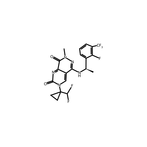 C[C@@H](Nc1nn(C)c(=O)c2nc(=O)n(C3(C(F)F)CC3)cc12)c1cccc(C(F)(F)F)c1F